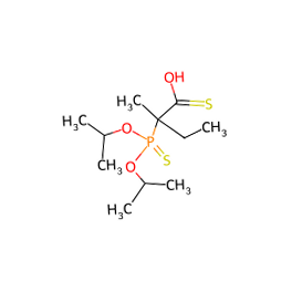 CCC(C)(C(O)=S)P(=S)(OC(C)C)OC(C)C